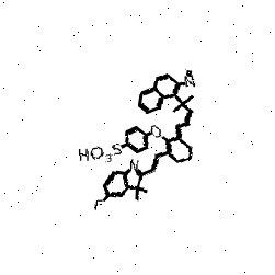 C=Nc1ccc2ccccc2c1C(C)(C)/C=C\C=C1/CCCC(/C=C/C2=Nc3ccc(F)cc3C2(C)C)=C1Oc1ccc(S(=O)(=O)O)cc1